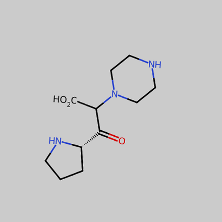 O=C(O)C(C(=O)[C@@H]1CCCN1)N1CCNCC1